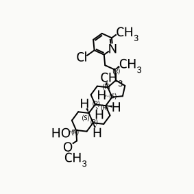 COC[C@@]1(O)CC[C@H]2[C@H](CC[C@@H]3[C@@H]2CC[C@]2(C)C([C@H](C)Cc4nc(C)ccc4Cl)CC[C@@H]32)C1